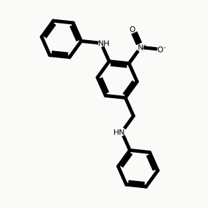 O=[N+]([O-])c1cc(CNc2ccccc2)ccc1Nc1ccccc1